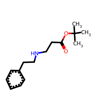 CC(C)(C)OC(=O)CCNCCc1ccccc1